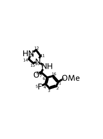 COc1ccc(F)c(C(=O)NN2CCNCC2)c1